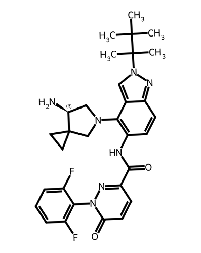 CC(C)(C)C(C)(C)n1cc2c(N3C[C@H](N)C4(CC4)C3)c(NC(=O)c3ccc(=O)n(-c4c(F)cccc4F)n3)ccc2n1